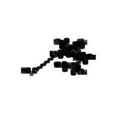 CC(C)(C)OC(=O)CC[C@H](NC(=O)CC[C@H](NC(=O)CC[C@H](NC(=O)CC[C@H](NC(=O)[C@H](CC(=O)NCCCCCCCCCCCC(=O)O)NC(=O)OC(C)(C)C)C(=O)OC(C)(C)C)C(=O)OC(C)(C)C)C(=O)OC(C)(C)C)C(=O)OC(C)(C)C